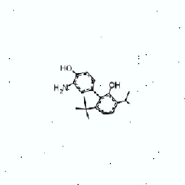 CC(C)c1ccc(C(C)(C)C)c(-c2ccc(O)c(N)c2)c1O